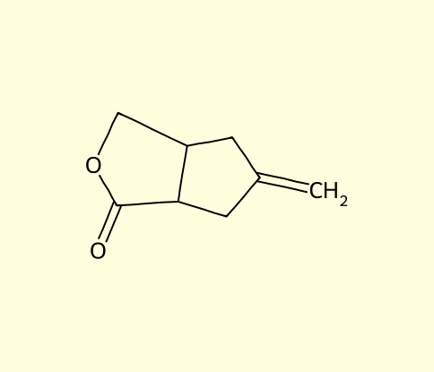 C=C1CC2COC(=O)C2C1